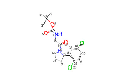 CC(C)(C)OC(=O)NCC(=O)N1CCC[C@@H]1c1cc(Cl)ccc1Cl